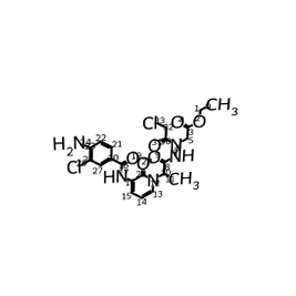 CCOC(=O)CN(NC(=O)C(C)n1cccc(NC(=O)c2ccc(N)c(Cl)c2)c1=O)C(=O)CCl